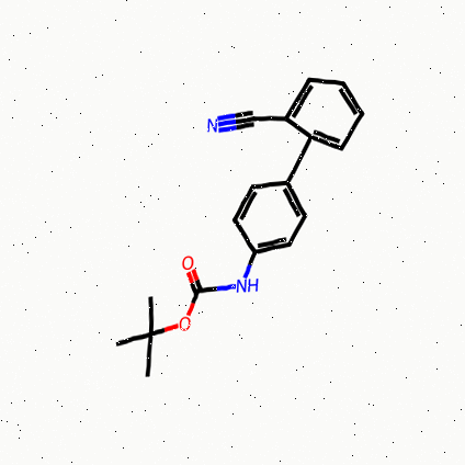 CC(C)(C)OC(=O)Nc1ccc(-c2ccccc2C#N)cc1